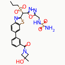 CCCS(=O)(=O)C(c1nnc(CNS(N)(=O)=O)o1)c1nc2ccc(-c3cccc(C(=O)N4CC(C)(O)C4)c3)cc2s1